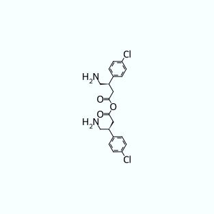 NC[C@H](CC(=O)OC(=O)C[C@H](CN)c1ccc(Cl)cc1)c1ccc(Cl)cc1